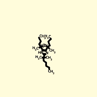 CCCCCC(C)(C)c1nc(C(C)(C)CCCC)c(C(C)(C)CCCC)[nH]1